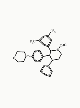 O=CN1CCC(c2ccccc2)C(c2ccc(N3CCOCC3)cc2)C1c1cc(C(F)(F)F)cc(C(F)(F)F)c1